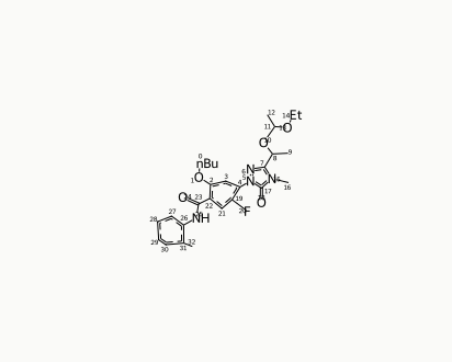 CCCCOc1cc(-n2nc(C(C)OC(C)OCC)n(C)c2=O)c(F)cc1C(=O)Nc1ccccc1C